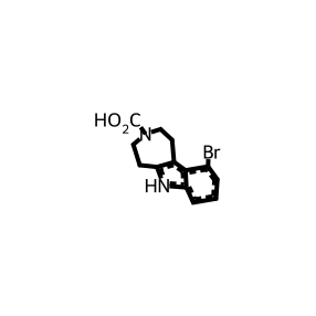 O=C(O)N1CCc2[nH]c3cccc(Br)c3c2CC1